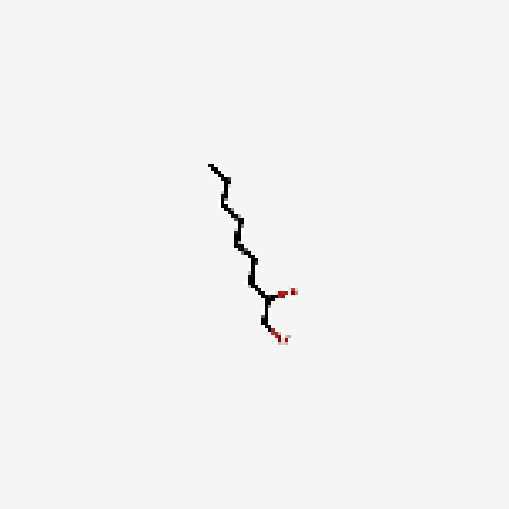 CCCCCCCC(Br)CBr